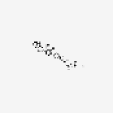 C=CC1CCC(c2ccc(C3CCC(OCC4C=C(F)C(OC)CC4)CC3)c(F)c2F)CC1